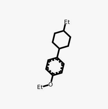 CCOc1ccc(C2CCC(CC)CC2)cc1